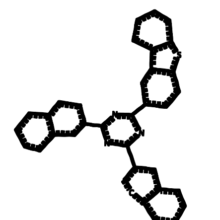 c1ccc2cc(-c3nc(-c4ccc5ccccc5c4)nc(-c4ccc5sc6ccccc6c5c4)n3)ccc2c1